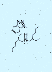 CCCCC(CC)CNCC(CC)CCCC.Cn1nnc2ccccc21